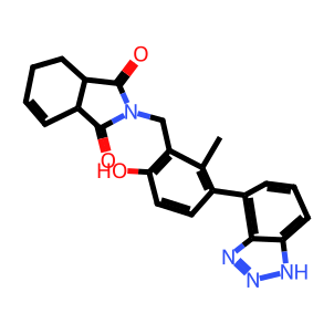 Cc1c(-c2cccc3[nH]nnc23)ccc(O)c1CN1C(=O)C2C=CCCC2C1=O